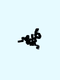 CCN(C)C(=O)N1CCC(N)C1Cc1cccc(-c2cccc(F)c2)c1F